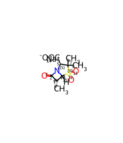 C[C@@H]1C(=O)N2[C@@H](C(=O)[O-])C(C)(C)S(=O)(=O)[C@H]12.[Na+]